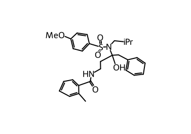 COc1ccc(S(=O)(=O)N(CC(C)C)C(O)(CCNC(=O)c2ccccc2C)Cc2ccccc2)cc1